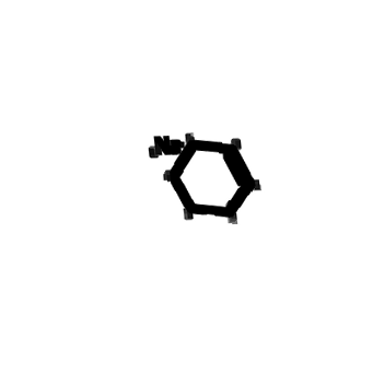 C1=CCCCC1.[Na]